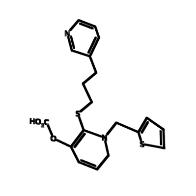 O=C(O)OC1=C(SCCCc2cccnc2)N(Cc2cccs2)CC=C1